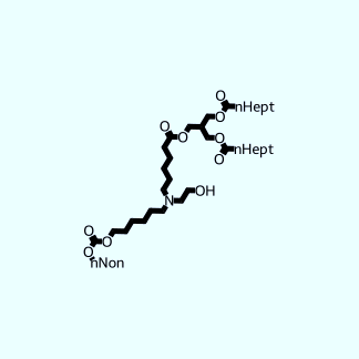 CCCCCCCCCOC(=O)OCCCCCCN(CCO)CCCCCC(=O)OCC(COC(=O)CCCCCCC)COC(=O)CCCCCCC